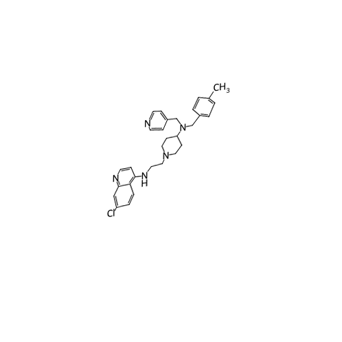 Cc1ccc(CN(Cc2ccncc2)C2CCN(CCNc3ccnc4cc(Cl)ccc34)CC2)cc1